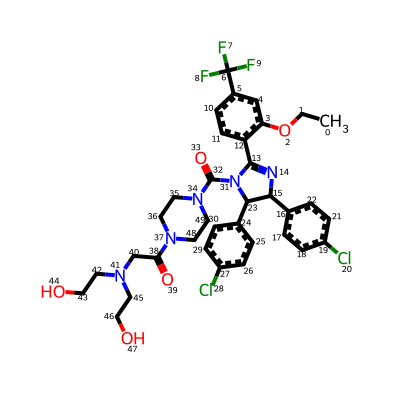 CCOc1cc(C(F)(F)F)ccc1C1=NC(c2ccc(Cl)cc2)C(c2ccc(Cl)cc2)N1C(=O)N1CCN(C(=O)CN(CCO)CCO)CC1